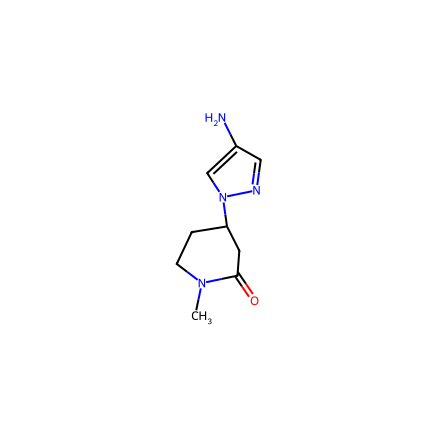 CN1CCC(n2cc(N)cn2)CC1=O